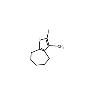 Cc1c(I)sc2c1CCCCC2